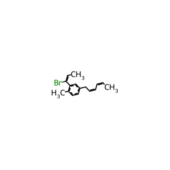 C/C=C\C=C/Cc1ccc(C)c(/C(Br)=C\C)c1